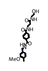 COc1cc(/C=N/NC(=O)c2ccc(C(=O)NCCC(=O)NCCO)cc2)ccc1C